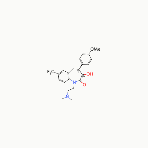 COc1ccc([C@@H]2Cc3cc(C(F)(F)F)ccc3N(CCN(C)C)C(=O)[C@@H]2O)cc1